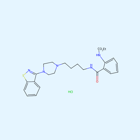 CCOC(=O)Nc1ccccc1C(=O)NCCCCN1CCN(c2nsc3ccccc23)CC1.Cl